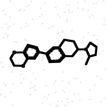 CC1CCCN1C1CCc2cc(-c3ccc4c(c3)OCCO4)ccc2C1